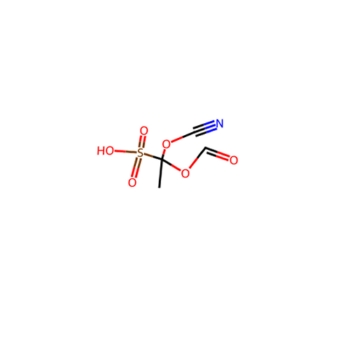 CC(OC#N)(OC=O)S(=O)(=O)O